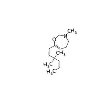 C/C=C\C(C)(C)/C=C\C1=CCCN(C)CO1